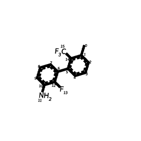 Cc1cccc(-c2cccc(N)c2F)c1C(F)(F)F